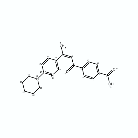 CC(=CC(=O)c1ccc(C(=O)O)cc1)c1ccc(N2CCCCC2)nc1